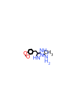 C/C(N)=N\C(N)=C(/C=N)Cc1ccc2c(c1)OCO2